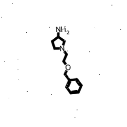 NC1CCN(CCOCc2ccccc2)C1